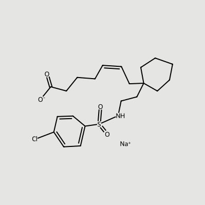 O=C([O-])CCC/C=C\CC1(CCNS(=O)(=O)c2ccc(Cl)cc2)CCCCC1.[Na+]